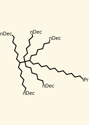 CCCCCCCCCCCCCCCC[C](CCCCCCCCCCCCCCCC)C(CCCCCCCCCCCCCCCC)(CCCCCCCCCCCCCCCC)C(CCCCCCCCCCCCCCCC)CCCCCCCCCCCCC(C)C